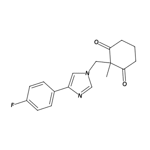 CC1(Cn2cnc(-c3ccc(F)cc3)c2)C(=O)CCCC1=O